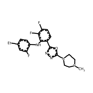 CCc1ccc(Nc2c(-c3nnc(N4CCN(C)CC4)o3)ccc(F)c2F)c(F)c1